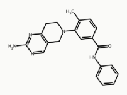 Cc1ccc(C(=O)Nc2ccccc2)cc1N1CCc2nc(N)ncc2C1